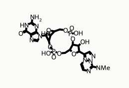 CNc1ncc[n+]2c(C3OC4COP(=O)(O)OC5C(O)C(COP(=O)(O)OC4C3O)OC5n3cnc4c(=O)[nH]c(N)nc43)cnn12